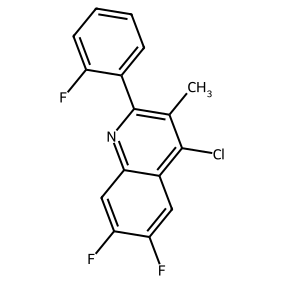 Cc1c(-c2ccccc2F)nc2cc(F)c(F)cc2c1Cl